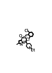 CCN1CCC(CCN(Cc2c(Cl)cccc2Cl)C(=O)c2cc(C)n[nH]2)CC1